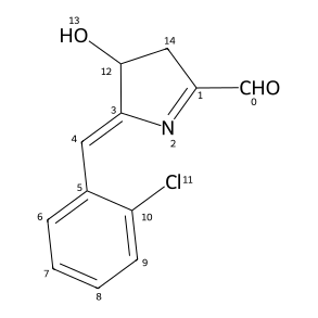 O=CC1=NC(=Cc2ccccc2Cl)C(O)C1